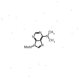 CNn1cnc2c(N(C)C)ncnc21